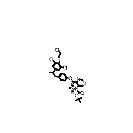 C[C@H](Cc1ccc(OCc2ncncc2N(C(=O)OC(C)(C)C)S(C)(=O)=O)cc1)c1cc(Cl)c(OCCCl)c(Cl)c1